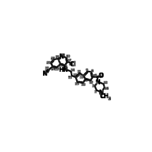 CN1CCN(C(=O)c2ccc3cc(CCNc4c(Cl)cnc5ccc(C#N)cc45)ccc3c2)CC1